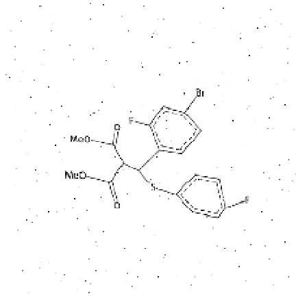 COC(=O)C(C(=O)OC)C(Sc1ccc(F)cc1)c1ccc(Br)cc1F